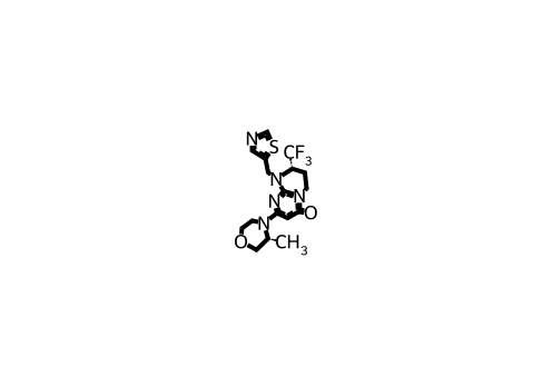 C[C@@H]1COCCN1c1cc(=O)n2c(n1)N(Cc1cncs1)[C@H](C(F)(F)F)CC2